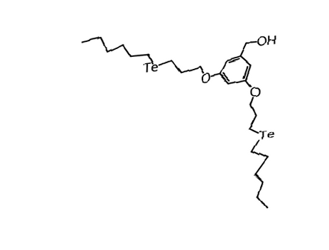 CCCCCC[Te]CCCOc1cc(CO)cc(OCCC[Te]CCCCCC)c1